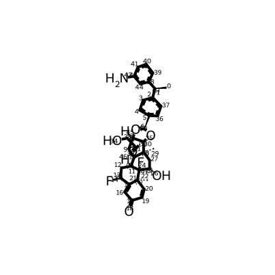 C[C@@H](c1ccc([C@@H]2O[C@@H]3CC4[C@@H]5C[C@H](F)C6=CC(=O)C=C[C@]6(C)[C@@]5(F)[C@@H](O)C[C@]4(C)[C@]3(C(=O)CO)O2)cc1)c1cccc(N)c1